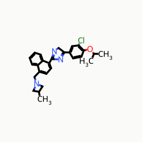 CC1CN(Cc2ccc(C3=NCC(c4ccc(OC(C)C)c(Cl)c4)=N3)c3ccccc23)C1